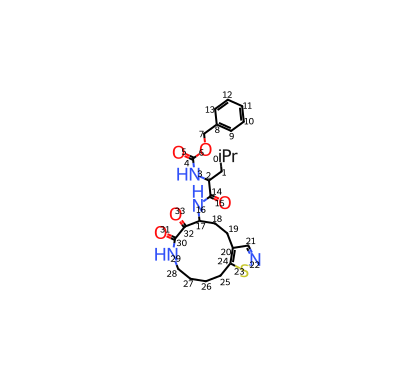 CC(C)CC(NC(=O)OCc1ccccc1)C(=O)NC1CCc2cnsc2CCCCNC(=O)C1=O